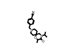 CC1OC2(CCN(Cc3ccc(C#N)cc3)CC2)CN(C(C)C)C1=O